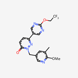 COc1ncc(Cn2nc(-c3cnc(OCC(F)(F)F)nc3)ccc2=O)cc1C